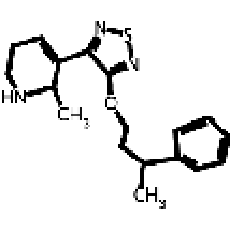 CC1NCCC=C1c1nsnc1OCCC(C)c1ccccc1